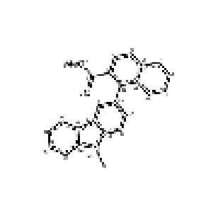 COC(=O)c1ccc2ccccc2c1-c1ccc2c(c1)c1ccccc1n2C